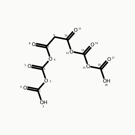 O=C(O)OC(=O)OC(=O)CC(=O)OC(=O)OC(=O)O